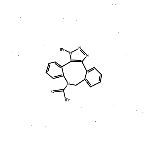 CC(C)C(=O)N1Cc2ccccc2-c2nnn(C(C)C)c2-c2ccccc21